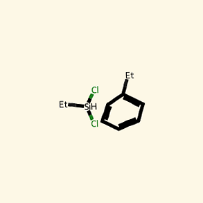 CC[SiH](Cl)Cl.CCc1ccccc1